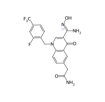 NC(=O)Cc1ccc2c(c1)c(=O)c(/C(N)=N/O)cn2Cc1ccc(C(F)(F)F)cc1F